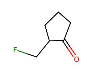 O=C1CCCC1CF